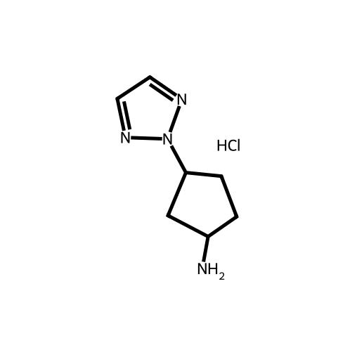 Cl.NC1CCC(n2nccn2)C1